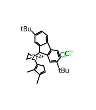 CC1=CC[C]([Zr+2]2([CH]3c4cc(C(C)(C)C)ccc4-c4ccc(C(C)(C)C)cc43)[CH2][CH2]2)=C1C.[Cl-].[Cl-]